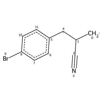 [CH2]C(C#N)[CH]c1ccc(Br)cc1